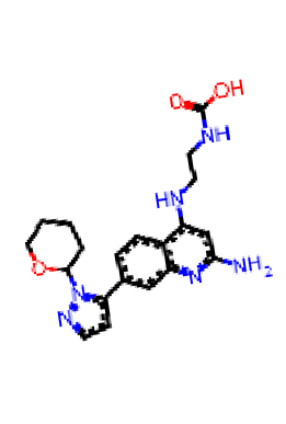 Nc1cc(NCCNC(=O)O)c2ccc(-c3ccnn3C3CCCCO3)cc2n1